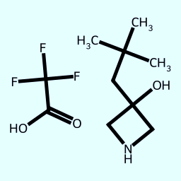 CC(C)(C)CC1(O)CNC1.O=C(O)C(F)(F)F